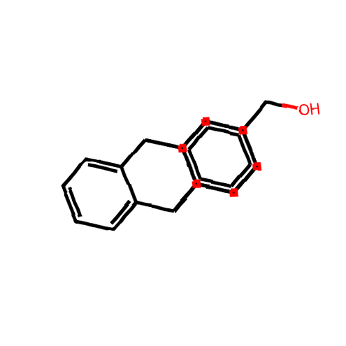 OCc1ccc2c(c1)C1c3ccccc3C2c2ccccc21